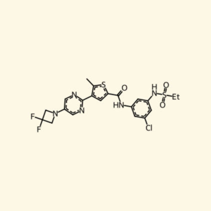 CCS(=O)(=O)Nc1cc(Cl)cc(NC(=O)c2cc(-c3ncc(N4CC(F)(F)C4)cn3)c(C)s2)c1